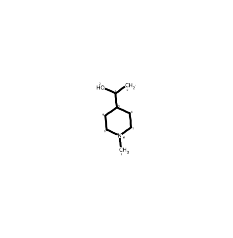 [CH2]C(O)C1CCN(C)CC1